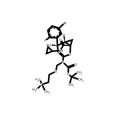 CC(C)(C)OC(=O)N(COCC[Si](C)(C)C)C1=N[C@](C)(c2cc(Br)ccc2F)[C@@H]2C[C@]2(C(=O)NC2CC2)S1